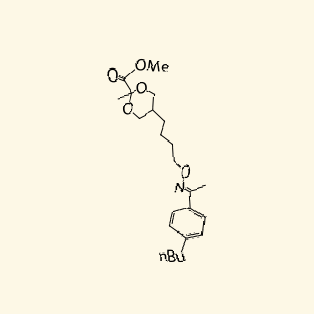 CCCCc1ccc(C(C)=NOCCCCC2COC(C)(C(=O)OC)OC2)cc1